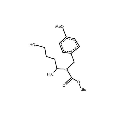 COc1ccc(CN(C(=O)OC(C)(C)C)C(C)CCCO)cc1